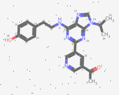 CC(=O)c1cncc(-c2nc(NCCc3ccc(O)cc3)c3ncn(C(C)C)c3n2)c1